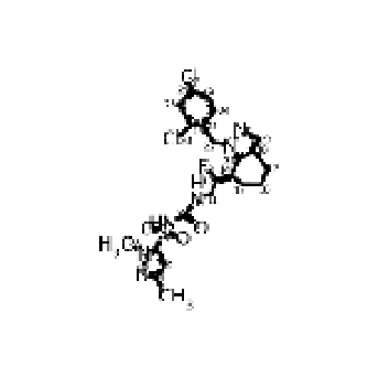 Cc1cc(S(=O)(=O)NC(=O)NC/C(F)=C2\CCCc3cnn(Cc4ccc(Cl)cc4Cl)c32)n(C)n1